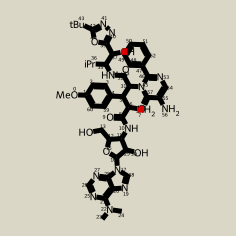 COc1ccc(C(C(N)C(=O)NC2C(CO)OC(n3cnc4c(N(C)C)ncnc43)C2O)C(C(=O)NC(C(C)C)C(O)c2nnc(C(C)(C)C)o2)n2c(-c3ccccc3)ncc(N)c2=O)cc1